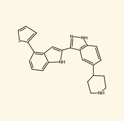 c1csc(-c2cccc3[nH]c(-c4n[nH]c5ccc(C6CCNCC6)cc45)cc23)c1